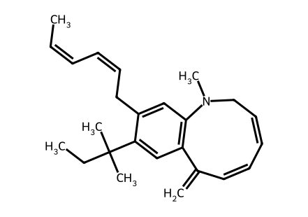 C=C1/C=C\C=C/CN(C)c2cc(C/C=C\C=C/C)c(C(C)(C)CC)cc21